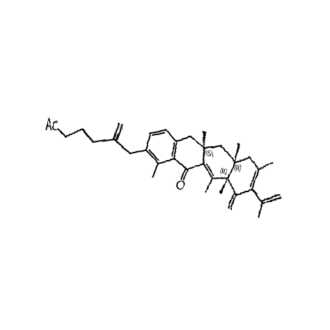 C=C(CCCC(C)=O)Cc1ccc2c(c1C)C(=O)C1=C(C)[C@@]3(C)C(=C)C(C(=C)C)=C(C)C[C@@]3(C)C[C@@]1(C)C2